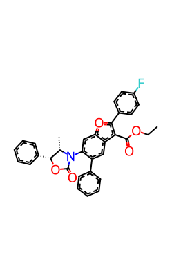 CCOC(=O)c1c(-c2ccc(F)cc2)oc2cc(N3C(=O)O[C@H](c4ccccc4)[C@@H]3C)c(-c3ccccc3)cc12